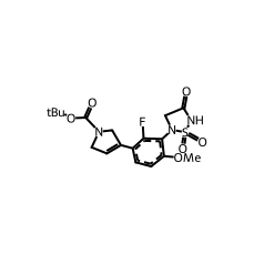 COc1ccc(C2=CCN(C(=O)OC(C)(C)C)C2)c(F)c1N1CC(=O)NS1(=O)=O